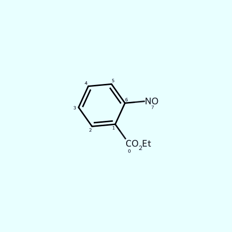 CCOC(=O)c1ccccc1N=O